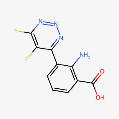 Nc1c(C(=O)O)cccc1-c1nnnc(F)c1F